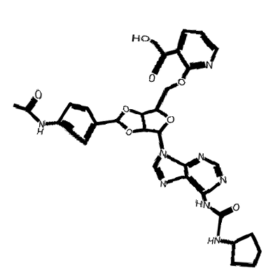 CC(=O)Nc1ccc(C2OC3C(COc4ncccc4C(=O)O)OC(n4cnc5c(NC(=O)NC6CCCC6)ncnc54)C3O2)cc1